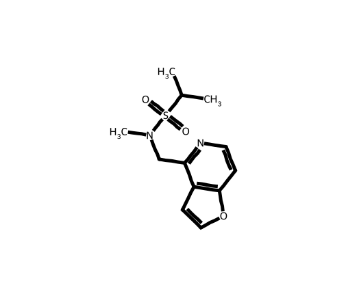 CC(C)S(=O)(=O)N(C)Cc1nccc2occc12